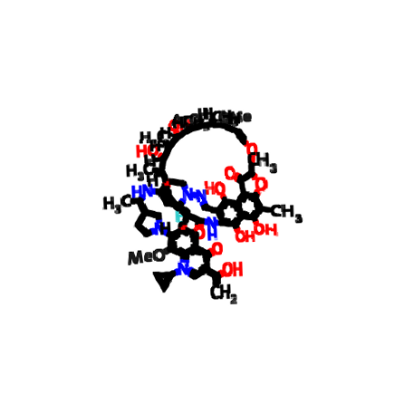 C=C(O)c1cn(C2CC2)c2c(OC)c(N3CCC(C(C)NC4CCN(/N=C/c5c6c(O)c7c(O)c(C)c8c(c7c5O)C(=O)[C@@](C)(O/C=C/[C@H](OC)[C@@H](C)[C@@H](OC(C)=O)[C@H](C)[C@H](O)[C@H](C)[C@@H](O)[C@@H](C)/C=C/C=C(/C)C(=O)N6)O8)CC4)C3)c(F)cc2c1=O